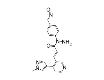 Cn1cc(-c2ccncc2/C=C/C(=O)N(N)c2ccc(CN=O)cc2)cn1